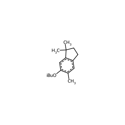 Cc1cc2c(cc1OCC(C)C)C(C)(C)CC2